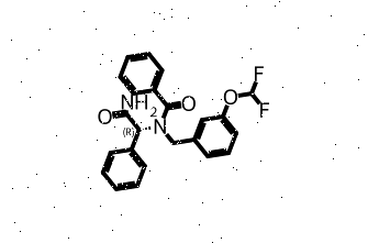 NC(=O)[C@@H](c1ccccc1)N(Cc1cccc(OC(F)F)c1)C(=O)c1ccccc1